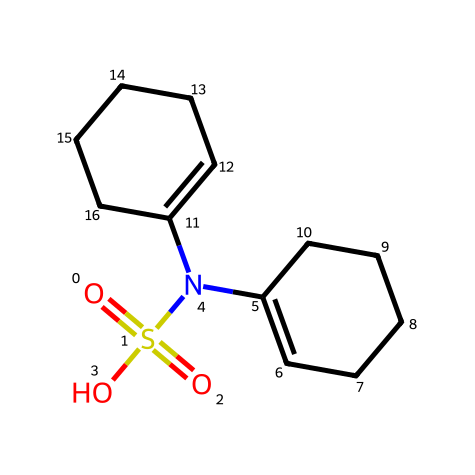 O=S(=O)(O)N(C1=CCCCC1)C1=CCCCC1